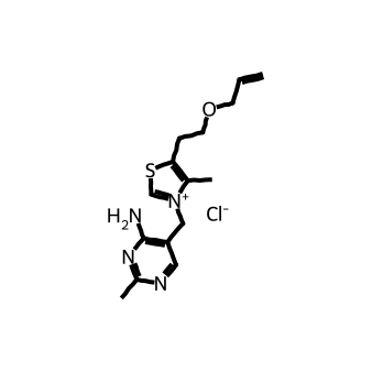 C=CCOCCc1sc[n+](Cc2cnc(C)nc2N)c1C.[Cl-]